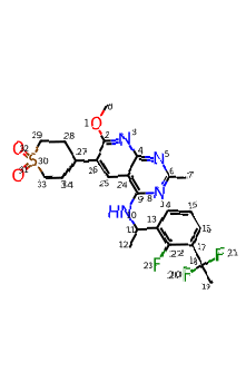 COc1nc2nc(C)nc(NC(C)c3cccc(C(C)(F)F)c3F)c2cc1C1CCS(=O)(=O)CC1